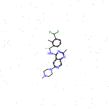 Cc1nc(N[C@H](C)c2cccc(C(F)F)c2C)c2cc(N3CCN(C)CC3)ncc2n1